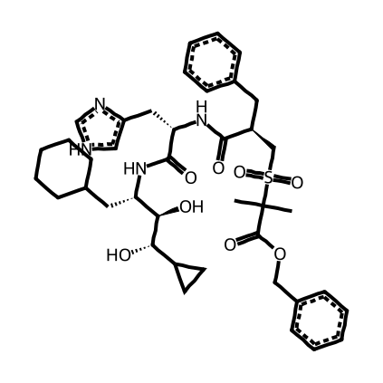 CC(C)(C(=O)OCc1ccccc1)S(=O)(=O)C[C@H](Cc1ccccc1)C(=O)N[C@@H](Cc1c[nH]cn1)C(=O)N[C@@H](CC1CCCCC1)[C@@H](O)[C@@H](O)C1CC1